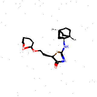 O=C1N=C(N[C@H]2C[C@H]3CC[C@H]2C3)SC1CCOC1CCCCO1